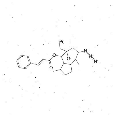 CC(C)CC12CC(N=[N+]=[N-])C(C)(O1)C1CCC(C)C1C2OC(=O)/C=C/c1ccccc1